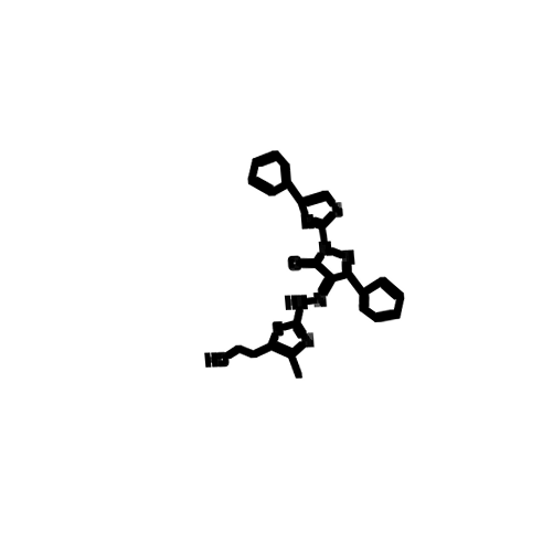 Cc1nc(N/N=C2\C(=O)N(c3nc(-c4ccccc4)cs3)N=C2c2ccccc2)sc1CCO